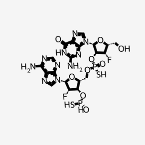 Nc1nc2c(ncn2[C@@H]2O[C@H](CO)[C@H](F)[C@H]2OP(=O)(S)OC[C@H]2O[C@@H](n3cnc4c(N)ncnc43)[C@@H](F)[C@@H]2O[PH](=O)S)c(=O)[nH]1